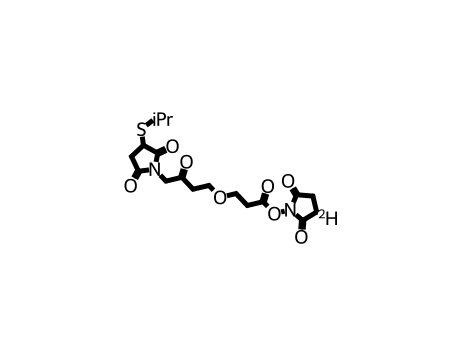 [2H]C1CC(=O)N(OC(=O)CCOCCC(=O)CN2C(=O)CC(SC(C)C)C2=O)C1=O